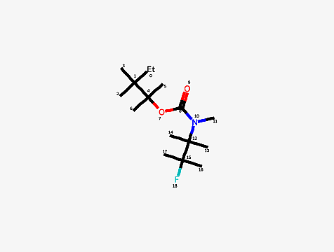 CCC(C)(C)C(C)(C)OC(=O)N(C)C(C)(C)C(C)(C)F